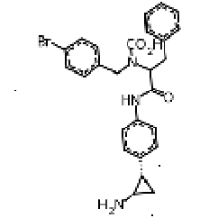 N[C@@H]1C[C@H]1c1ccc(NC(=O)C(Cc2ccccc2)N(Cc2ccc(Br)cc2)C(=O)O)cc1